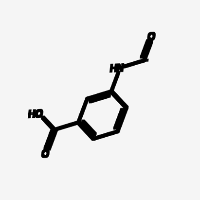 O=[C]Nc1cccc(C(=O)O)c1